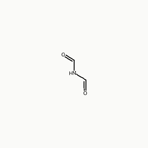 O=CNC=O